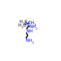 C[N+](C)(C)C(N)CNCCCN